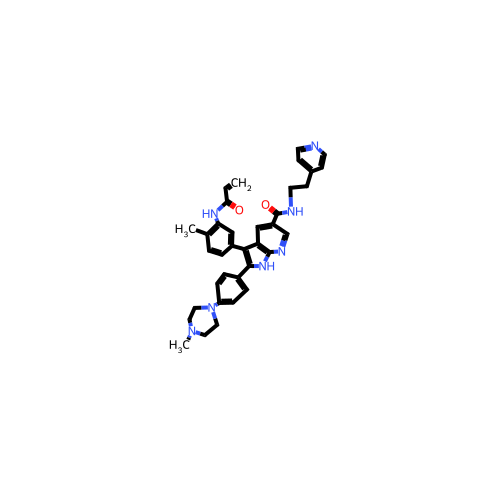 C=CC(=O)Nc1cc(-c2c(-c3ccc(N4CCN(C)CC4)cc3)[nH]c3ncc(C(=O)NCCc4ccncc4)cc23)ccc1C